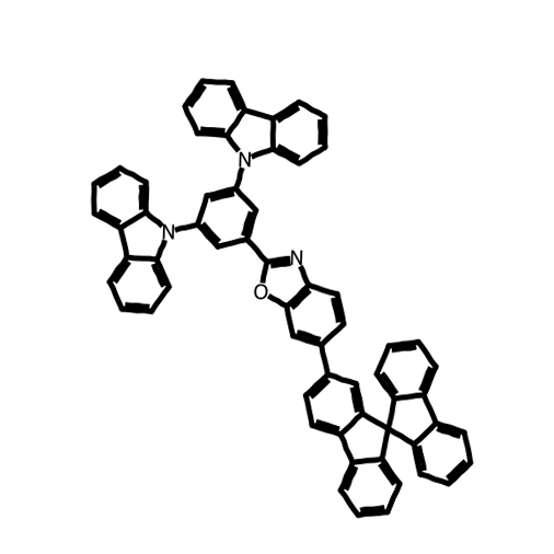 c1ccc2c(c1)-c1ccccc1C21c2ccccc2-c2ccc(-c3ccc4nc(-c5cc(-n6c7ccccc7c7ccccc76)cc(-n6c7ccccc7c7ccccc76)c5)oc4c3)cc21